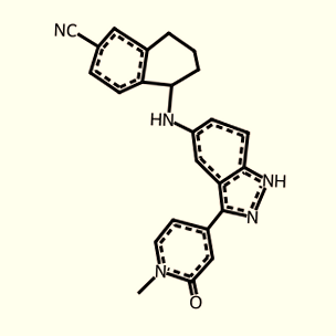 Cn1ccc(-c2n[nH]c3ccc(NC4CCCc5cc(C#N)ccc54)cc23)cc1=O